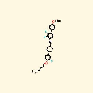 C=CCCCOc1ccc(C2CCC(/C=C/c3ccc(-c4ccc(OCCCC)cc4)c(F)c3F)CC2)cc1F